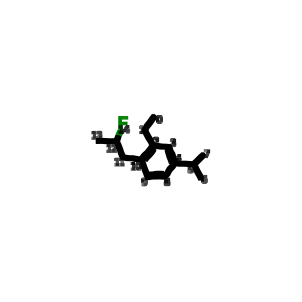 CCc1cc(C(C)C)ccc1CC(C)F